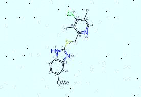 COc1ccc2[nH]c(SCc3ncc(C)c(Cl)c3C)nc2c1